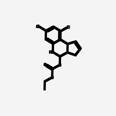 CCOC(=O)OC1Nc2cc(Cl)cc(Cl)c2C2C=CCC12